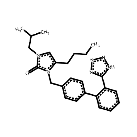 CCCCc1cn(CC(C)C)c(=O)n1Cc1ccc(-c2ccccc2-c2nnn[nH]2)cc1